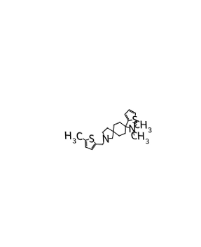 Cc1ccc(CN2CCC3(CCC(c4cccs4)(N(C)C)CC3)C2)s1